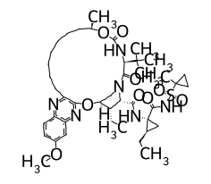 CC[C@@H]1[C@@H]2CN(C(=O)[C@H](C(C)(C)C)NC(=O)O[C@H](C)CCCCCCCc3nc4ccc(OC)cc4nc3O2)[C@@H]1C(=O)N[C@]1(C(=O)NS(=O)(=O)C2(C)CC2)C[C@H]1CC